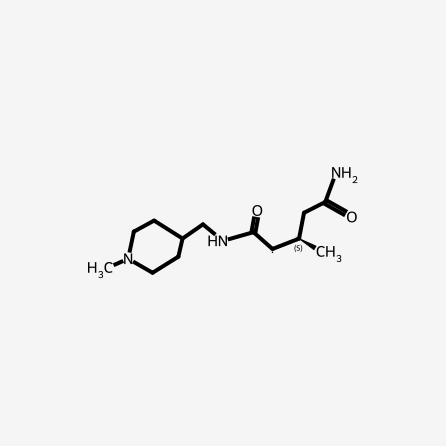 C[C@@H]([CH]C(=O)NCC1CCN(C)CC1)CC(N)=O